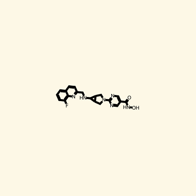 O=C(NO)c1cnc(N2CC3C(C2)C3NCc2ccc3cccc(F)c3n2)nc1